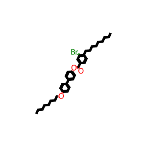 CCCCCCCCCc1ccc(C(=O)Oc2ccc(-c3ccc(OCCCCCCCC)cc3)cc2)cc1Br